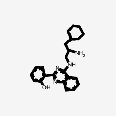 NC(CNc1nc(-c2ccccc2O)nc2ccccc12)CC1CCCCC1